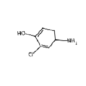 NC1C=C(Cl)C(O)=CC1